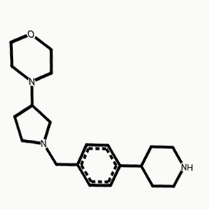 c1cc(C2CCNCC2)ccc1CN1CCC(N2CCOCC2)C1